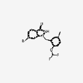 Cc1ccc(OC(F)F)c(Cn2[nH]c(=O)c3ccc(Br)cc32)c1